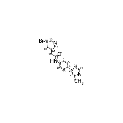 Cc1cc(-c2ccc(NC(=O)Cc3cncc(Br)c3)cc2)ccn1